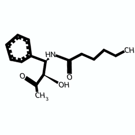 CCCCCC(=O)N[C@@H](c1ccccc1)[C@@H](O)C(C)=O